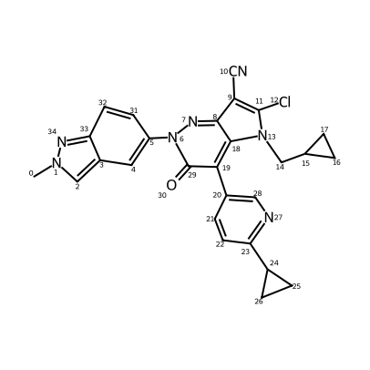 Cn1cc2cc(-n3nc4c(C#N)c(Cl)n(CC5CC5)c4c(-c4ccc(C5CC5)nc4)c3=O)ccc2n1